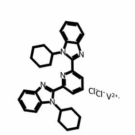 [Cl-].[Cl-].[V+2].c1cc(-c2nc3ccccc3n2C2CCCCC2)nc(-c2nc3ccccc3n2C2CCCCC2)c1